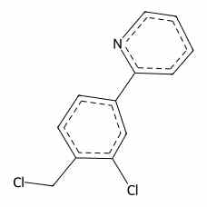 ClCc1ccc(-c2ccccn2)cc1Cl